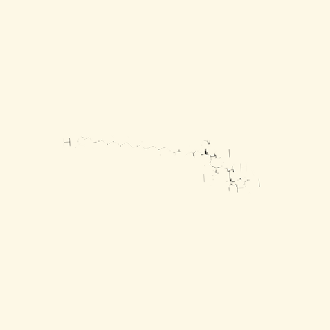 CCCCCCCCCCCCCCCCCCOC(=O)C(C)CC(C)CC(C)CC(C)CC